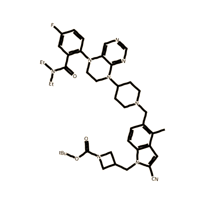 CCN(CC)C(=O)c1cc(F)ccc1N1CCN(C2CCN(Cc3ccc4c(cc(C#N)n4CC4CN(C(=O)OC(C)(C)C)C4)c3C)CC2)c2ncncc21